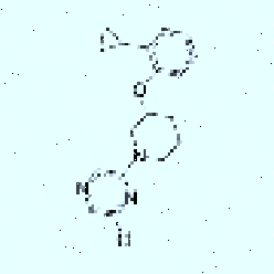 Clc1cncc(N2CCC[C@@H](Oc3ccccc3C3CC3)C2)n1